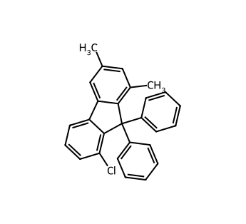 Cc1cc(C)c2c(c1)-c1cccc(Cl)c1C2(c1ccccc1)c1ccccc1